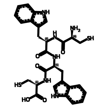 N[C@@H](CS)C(=O)N[C@@H](Cc1c[nH]c2ccccc12)C(=O)N[C@@H](Cc1c[nH]c2ccccc12)C(=O)N[C@@H](CS)C(=O)O